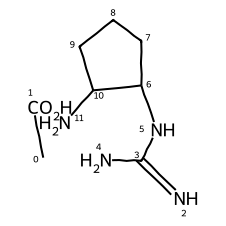 CC(=O)O.N=C(N)NC1CCCC1N